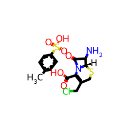 Cc1ccc(S(=O)(=O)O)cc1.NC1C(=O)N2C(C(=O)O)=C(CCl)CS[C@@H]12